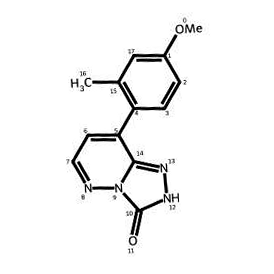 COc1ccc(-c2ccnn3c(=O)[nH]nc23)c(C)c1